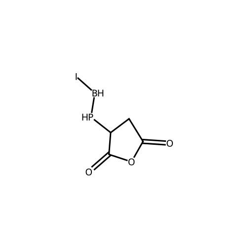 O=C1CC(PBI)C(=O)O1